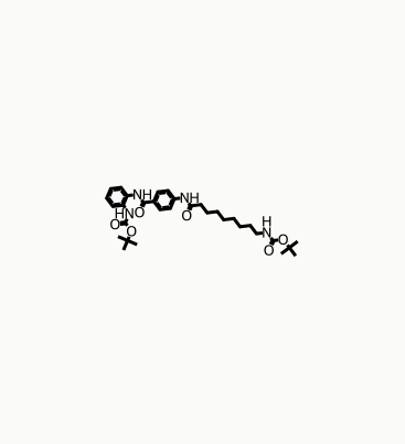 CC(C)(C)OC(=O)NCCCCCCCCC(=O)Nc1ccc(C(=O)Nc2ccccc2NC(=O)OC(C)(C)C)cc1